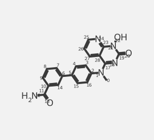 CN(c1ccc(-c2cccc(C(N)=O)c2)cc1)c1nc(=O)n(O)c2ncccc12